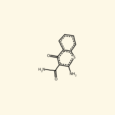 NC(=O)c1c(N)sc2ccccc2c1=O